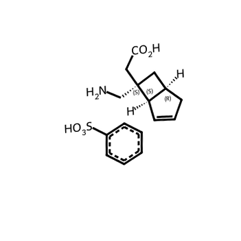 NC[C@]1(CC(=O)O)C[C@H]2CC=C[C@H]21.O=S(=O)(O)c1ccccc1